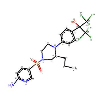 CCC[C@H]1CN(S(=O)(=O)c2ccc(N)nc2)CCN1c1ccc(C(O)(C(F)(F)F)C(F)(F)F)cc1